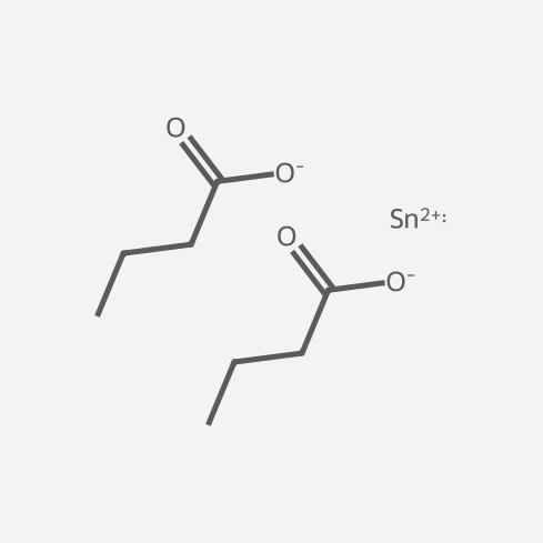 CCCC(=O)[O-].CCCC(=O)[O-].[Sn+2]